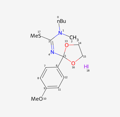 CCCCN(C)C(=NC1(c2ccc(OC)cc2)OCCO1)SC.I